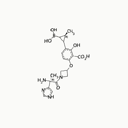 C[C@@H]1C(B(O)O)C1c1ccc(OC2CN(C(=O)[C@](C)(N)c3c[nH]cn3)C2)c(C(=O)O)c1O